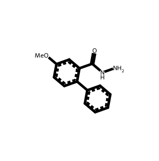 COc1[c]c(C(=O)NN)c(-c2ccccc2)cc1